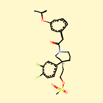 CC(C)Oc1cccc(CC(=O)N2CC[C@](CCOS(C)(=O)=O)(c3ccc(F)c(F)c3)C2)c1